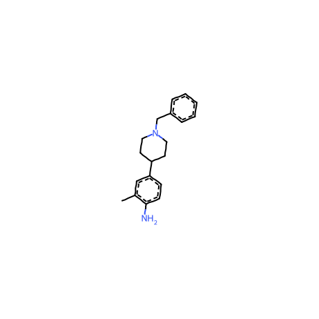 Cc1cc(C2CCN(Cc3ccccc3)CC2)ccc1N